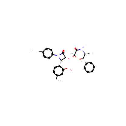 CCCCOc1cc(OC)ccc1[C@@H]1[C@H](O[C@@]2(C)O[C@H](c3ccccc3)[C@H](C)N(C)C2=O)C(=O)N1c1ccc(OC)cc1